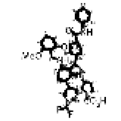 COc1cccc(OC)c1CNc1ncc(-c2cnn(C(F)F)c2)c2c1c(-c1ccc(C(=O)Nc3ccccc3)cc1)nn2C1CCN(C(=O)O)C1